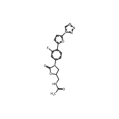 CC(=O)NCC1CN(c2ccc(-c3ccc(-n4cnnn4)o3)c(F)c2)C(=O)O1